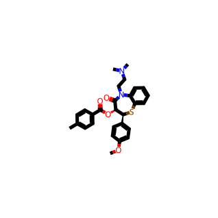 COc1ccc([C@@H]2Sc3ccccc3N(CCN(C)C)C(=O)[C@@H]2OC(=O)c2ccc(C)cc2)cc1